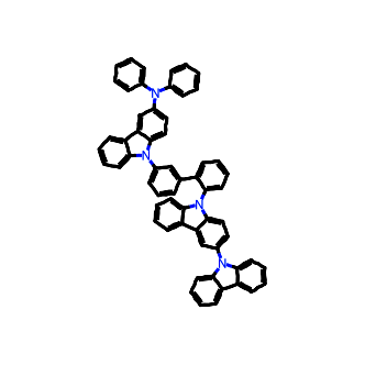 c1ccc(N(c2ccccc2)c2ccc3c(c2)c2ccccc2n3-c2cccc(-c3ccccc3-n3c4ccccc4c4cc(-n5c6ccccc6c6ccccc65)ccc43)c2)cc1